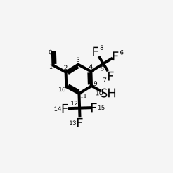 C=Cc1cc(C(F)(F)F)c(S)c(C(F)(F)F)c1